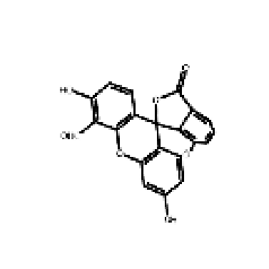 O=Cc1c(O)ccc2c1Oc1cc(O)ccc1C21OC(=O)c2cccc(Cl)c21